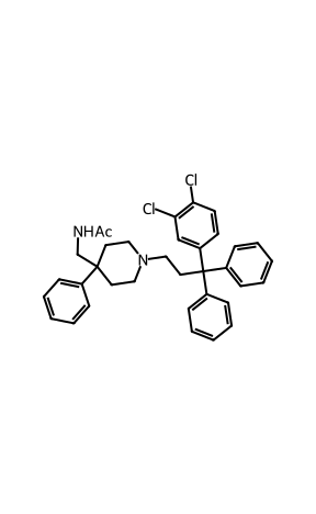 CC(=O)NCC1(c2ccccc2)CCN(CCC(c2ccccc2)(c2ccccc2)c2ccc(Cl)c(Cl)c2)CC1